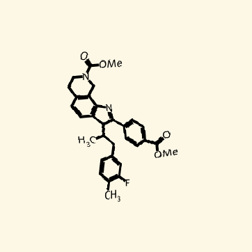 COC(=O)c1ccc(C2=Nc3c(ccc4c3CN(C(=O)OC)CC4)C2C(C)Cc2ccc(C)c(F)c2)cc1